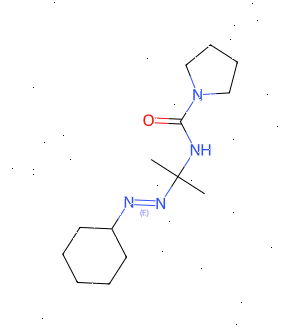 CC(C)(/N=N/C1CCCCC1)NC(=O)N1CCCC1